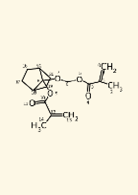 C=C(C)C(=O)OCOC1(OC(=O)C(=C)C)C2CCC1CC2